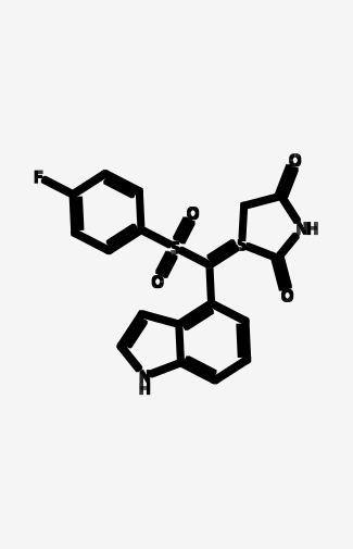 O=C1CS(=C(c2cccc3[nH]ccc23)S(=O)(=O)c2ccc(F)cc2)C(=O)N1